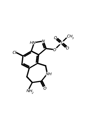 CS(=O)(=O)Oc1n[nH]c2c(Cl)cc3c(c12)CNC(=O)C(N)C3